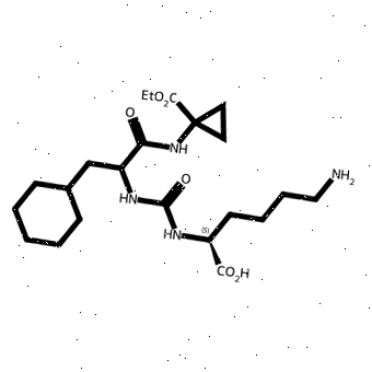 CCOC(=O)C1(NC(=O)C(CC2CCCCC2)NC(=O)N[C@@H](CCCCN)C(=O)O)CC1